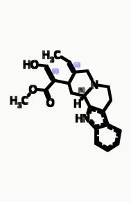 C/C=C1/CN2CCc3c([nH]c4ccccc34)[C@@H]2CC1/C(=C/O)C(=O)OC